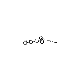 CCCCCCCC[C@H]1CO[C@H](C2CCC(c3ccc(Cl)cc3)CC2)O[C@@H]1C